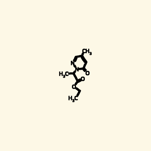 CCOC(=O)C(C)n1ncc(C)cc1=O